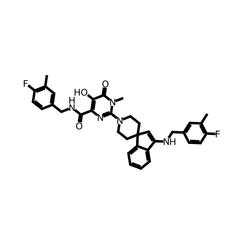 Cc1cc(CNC(=O)c2nc(N3CCC4(C=C(NCc5ccc(F)c(C)c5)c5ccccc54)CC3)n(C)c(=O)c2O)ccc1F